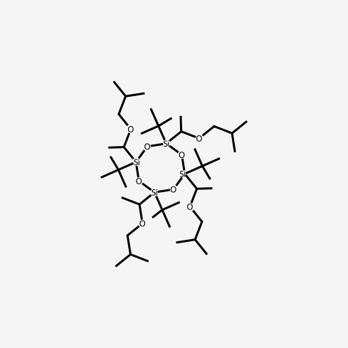 CC(C)COC(C)[Si]1(C(C)(C)C)O[Si](C(C)OCC(C)C)(C(C)(C)C)O[Si](C(C)OCC(C)C)(C(C)(C)C)O[Si](C(C)OCC(C)C)(C(C)(C)C)O1